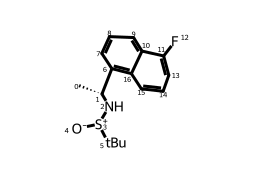 C[C@@H](N[S+]([O-])C(C)(C)C)c1cccc2c(F)cccc12